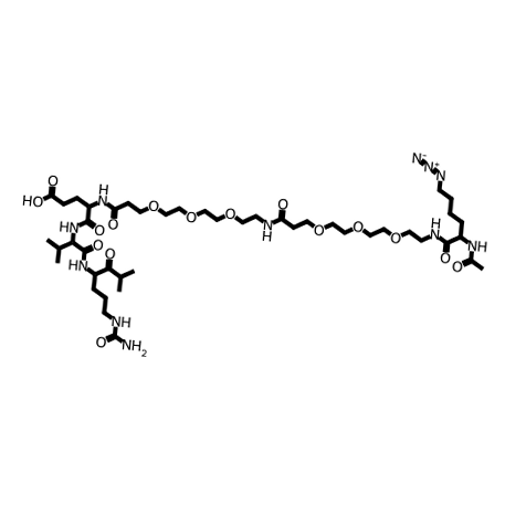 CC(=O)NC(CCCCN=[N+]=[N-])C(=O)NCCOCCOCCOCCC(=O)NCCOCCOCCOCCC(=O)NC(CCC(=O)O)C(=O)NC(C(=O)NC(CCCNC(N)=O)C(=O)C(C)C)C(C)C